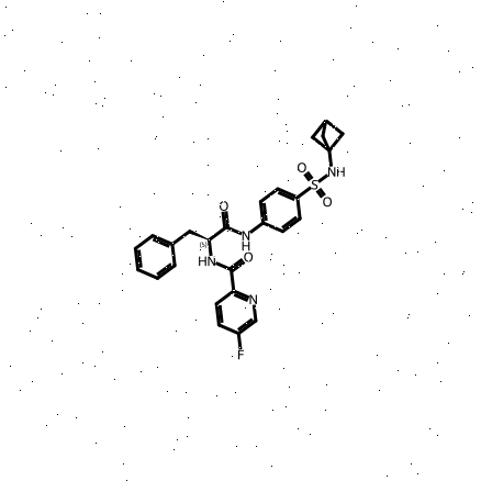 O=C(N[C@@H](Cc1ccccc1)C(=O)Nc1ccc(S(=O)(=O)NC23CC(C2)C3)cc1)c1ccc(F)cn1